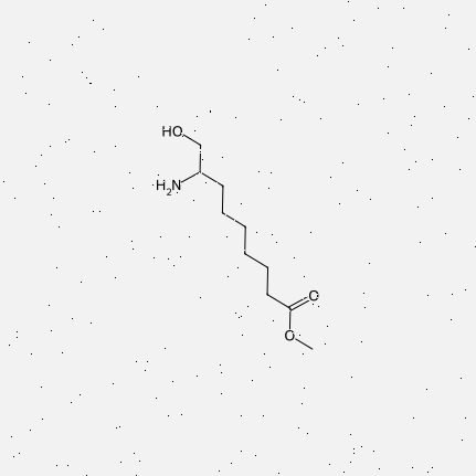 COC(=O)CCCCCCC(N)CO